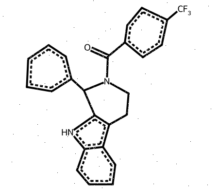 O=C(c1ccc(C(F)(F)F)cc1)N1CCc2c([nH]c3ccccc23)C1c1ccccc1